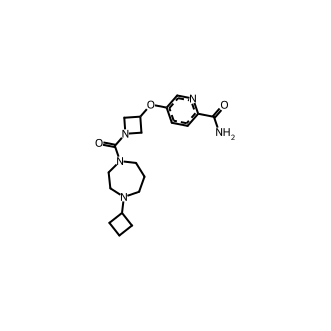 NC(=O)c1ccc(OC2CN(C(=O)N3CCCN(C4CCC4)CC3)C2)cn1